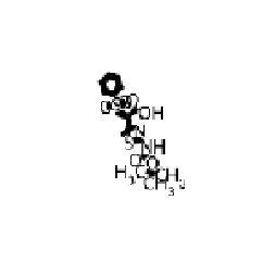 CC(C)(C)OC(=O)Nc1nc(C(=CS(=O)(=O)c2ccccc2)C(=O)O)cs1